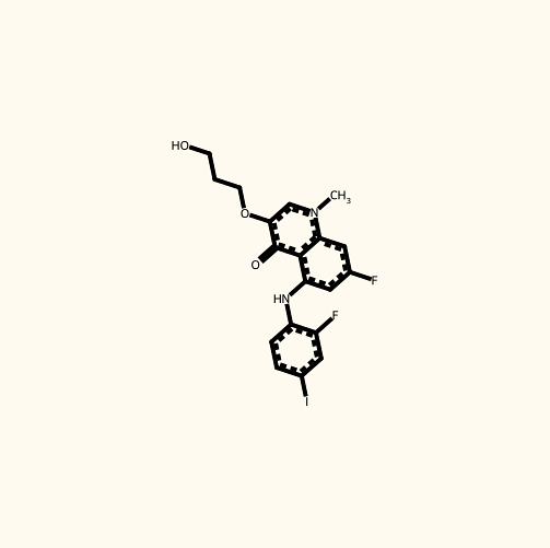 Cn1cc(OCCCO)c(=O)c2c(Nc3ccc(I)cc3F)cc(F)cc21